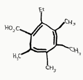 CCc1c(C)c(C)c(C)c(C)c1C(=O)O